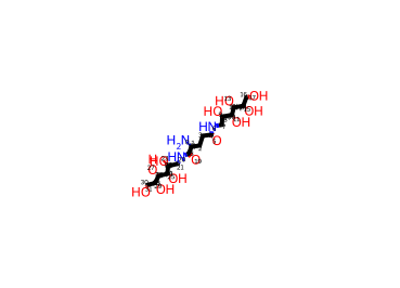 N[C@@H](CCC(=O)NC[C@H](O)[C@@H](O)[C@H](O)[C@H](O)CO)C(=O)NC[C@H](O)[C@@H](O)[C@H](O)[C@H](O)CO